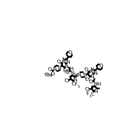 CCc1c(N2CCN(C(=O)OC(C)(C)C)CC2)c(=O)n2nc(C3=CCOCC3)nc2n1CC(=O)Nc1cc(Cl)c(C(F)(F)F)nc1C.CCc1c(N2CCNCC2)c(=O)n2nc(C3=CCOCC3)nc2n1CC(=O)Nc1cc(Cl)c(C(F)(F)F)nc1C